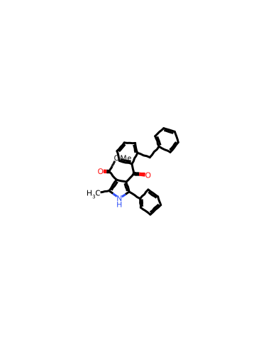 COC(=O)c1c(C)[nH]c(-c2ccccc2)c1C(=O)c1ccccc1Cc1ccccc1